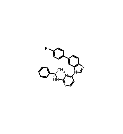 C[C@H](Nc1nccc(-n2cnc3ccc(-c4ccc(Br)cc4)cc32)n1)c1ccccc1